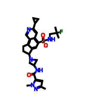 Cc1cc(C(=O)NC2CN(C3CCc4c3cc(S(=O)(=O)NCC(C)(C)F)c3cc(C5CC5)ncc43)C2)n(C)n1